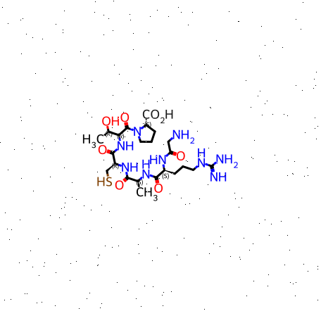 C[C@H](NC(=O)[C@H](CCCNC(=N)N)NC(=O)CN)C(=O)N[C@@H](CS)C(=O)N[C@H](C(=O)N1CCC[C@H]1C(=O)O)[C@@H](C)O